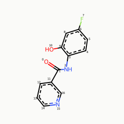 O=C(Nc1ccc(F)cc1O)c1cccnc1